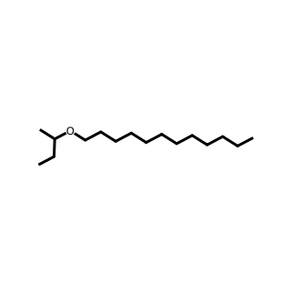 CCCCCCCCCCCCOC(C)CC